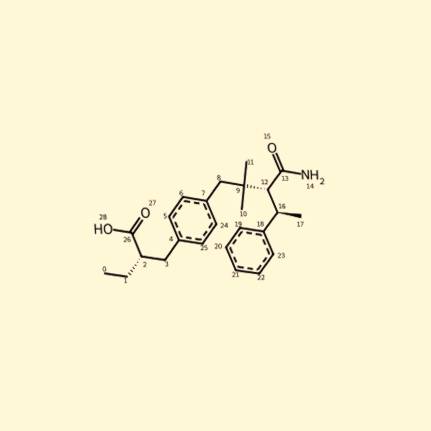 CC[C@@H](Cc1ccc(CC(C)(C)[C@H](C(N)=O)[C@@H](C)c2ccccc2)cc1)C(=O)O